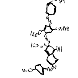 COc1ccc(Nc2ccc3c(O)c(N=Nc4cc(OC)c(N=Nc5ccc(S(=O)(=O)O)cc5)cc4OC)c(S(=O)(=O)O)cc3c2)cc1